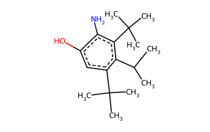 CC(C)c1c(C(C)(C)C)cc(O)c(N)c1C(C)(C)C